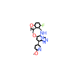 COc1ccc(-c2cc3c(n4cnnc24)NCc2c(F)ccc4c2[C@@H](CO4)CO3)cn1